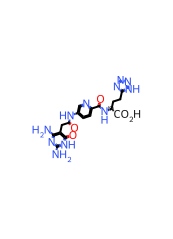 Nc1nc(N)c(CC(=O)Nc2ccc(C(=O)N[C@@H](CCc3nnn[nH]3)C(=O)O)nc2)c(=O)[nH]1